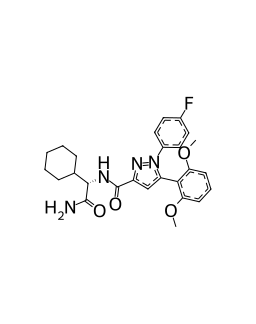 COc1cccc(OC)c1-c1cc(C(=O)N[C@H](C(N)=O)C2CCCCC2)nn1-c1ccc(F)cc1